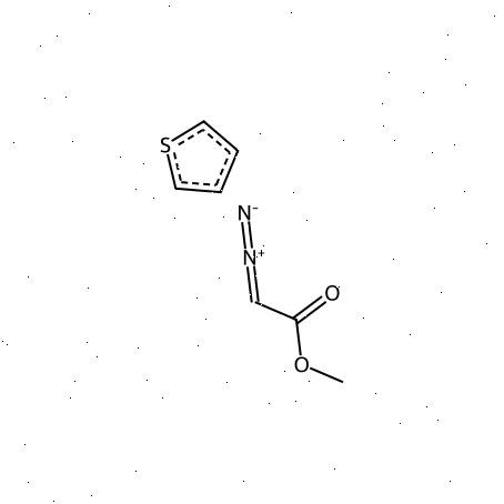 COC(=O)C=[N+]=[N-].c1ccsc1